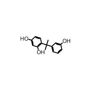 CC(C)(c1cccc(O)c1)c1ccc(O)cc1O